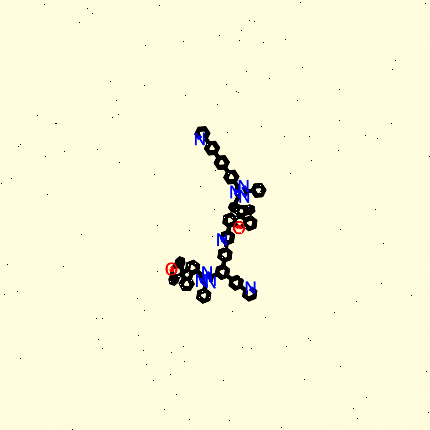 c1ccc(-c2nc(-c3cc(-c4ccc(-c5ccccn5)cc4)cc(-c4ccc(-c5ccc(-c6cccc7c6Oc6ccccc6C76c7ccccc7-c7c(-c8nc(-c9ccccc9)nc(-c9ccc(-c%10ccc(-c%11ccc(-c%12ccccn%12)cc%11)cc%10)cc9)n8)cccc76)cn5)cc4)c3)nc(-c3cccc4c3-c3ccccc3C43c4ccccc4Oc4ccccc43)n2)cc1